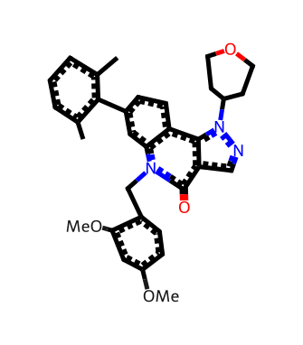 COc1ccc(Cn2c(=O)c3cnn(C4CCOCC4)c3c3ccc(-c4c(C)cccc4C)cc32)c(OC)c1